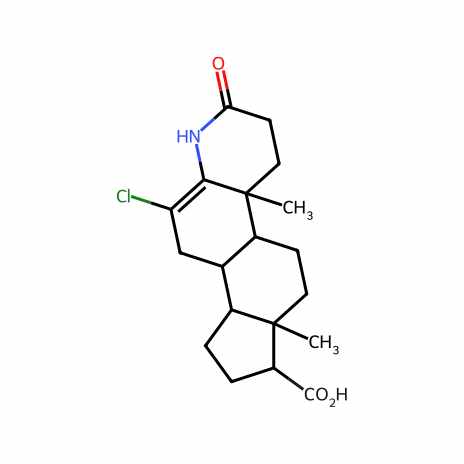 CC12CCC(=O)NC1=C(Cl)CC1C2CCC2(C)C(C(=O)O)CCC12